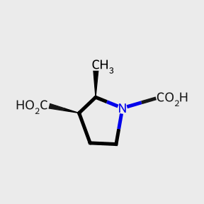 C[C@@H]1[C@H](C(=O)O)CCN1C(=O)O